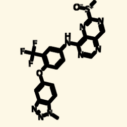 Cn1nnc2cc(Oc3ccc(Nc4ncnc5cnc([S+](C)[O-])nc45)cc3C(F)(F)F)ccc21